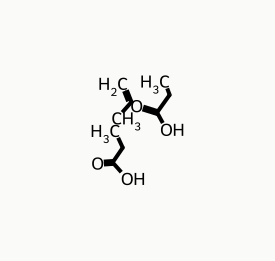 C=CC.CCC(=O)O.CCC(=O)O